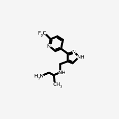 CC(CN)NCc1c[nH]nc1-c1ccc(C(F)(F)F)nc1